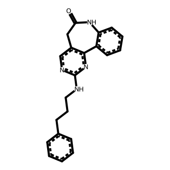 O=C1Cc2cnc(NCCCc3ccccc3)nc2-c2ccccc2N1